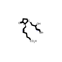 CCC/C=C/C(O)CC[C@H]1CCC(=O)[C@@H]1C/C=C\CCCC(=O)O